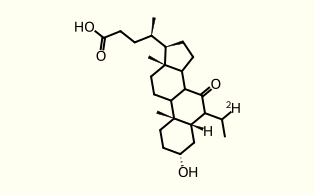 [2H]C(C)C1C(=O)C2C3CC[C@H]([C@H](C)CCC(=O)O)[C@@]3(C)CCC2[C@@]2(C)CC[C@@H](O)C[C@@H]12